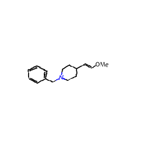 COC=CC1CCN(Cc2ccccc2)CC1